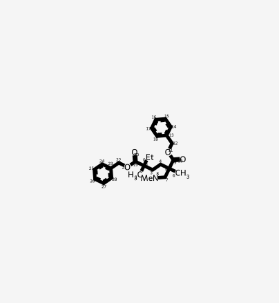 CCC(C)(CCC(C)(CNC)C(=O)OCc1ccccc1)C(=O)OCc1ccccc1